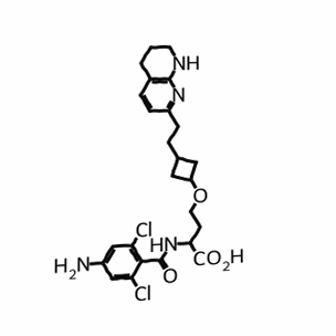 Nc1cc(Cl)c(C(=O)NC(CCOC2CC(CCc3ccc4c(n3)NCCC4)C2)C(=O)O)c(Cl)c1